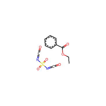 CCOC(=O)c1ccccc1.O=C=NS(=O)(=O)N=C=O